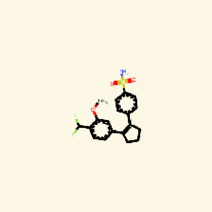 COc1cc(C2=C(c3ccc(S(N)(=O)=O)cc3)CCC2)ccc1C(F)F